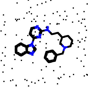 c1ccc(CN2CCCC(CCNc3nccc(-n4cnc5ccccc54)n3)C2)cc1